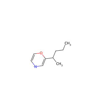 CCCC(C)C1=C[N]C=CO1